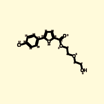 O=C(OCCOCCO)c1ccc(-c2ccc(Cl)cc2)o1